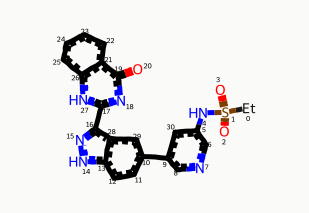 CCS(=O)(=O)Nc1cncc(-c2ccc3[nH]nc(-c4nc(=O)c5ccccc5[nH]4)c3c2)c1